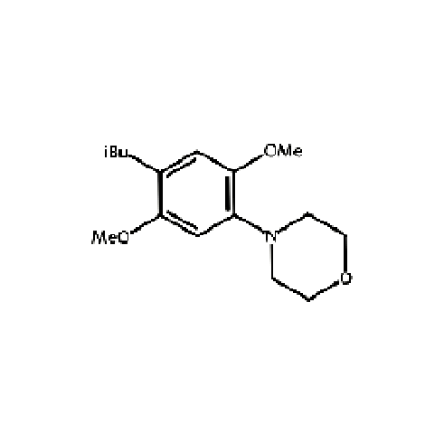 CCC(C)c1cc(OC)c(N2CCOCC2)cc1OC